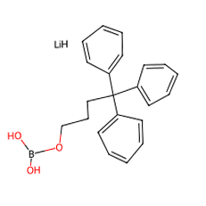 OB(O)OCCCC(c1ccccc1)(c1ccccc1)c1ccccc1.[LiH]